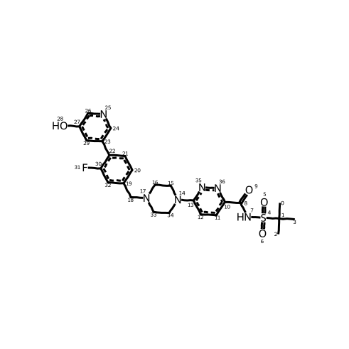 CC(C)(C)S(=O)(=O)NC(=O)c1ccc(N2CCN(Cc3ccc(-c4cncc(O)c4)c(F)c3)CC2)nn1